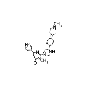 CN1CCN(c2ccc(C3CN(c4nc(-c5ccncc5)cc(=O)n4C)CCN3)cc2)CC1